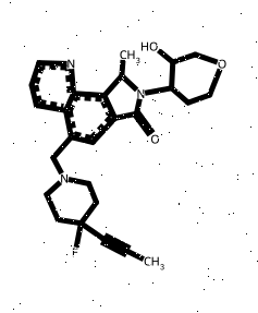 CC#CC1(F)CCN(Cc2cc3c(c4ncccc24)C(C)N(C2CCOCC2O)C3=O)CC1